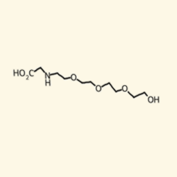 O=C(O)CNCCOCCOCCOCCO